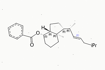 CC(C)C/C=C/[C@@H](C)[C@H]1CC[C@H]2[C@@H](OC(=O)c3ccccc3)CCC[C@]12C